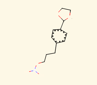 ON(O)OCCCc1ccc(C2OCCO2)cc1